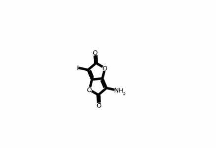 NC1=C2OC(=O)C(I)=C2OC1=O